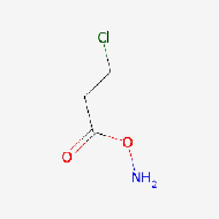 NOC(=O)CCCl